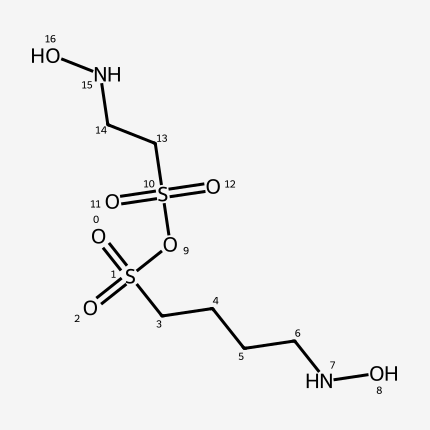 O=S(=O)(CCCCNO)OS(=O)(=O)CCNO